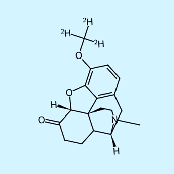 [2H]C([2H])([2H])Oc1ccc2c3c1O[C@H]1C(=O)CCC4[C@@H](C2)N(C)CC[C@@]341